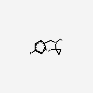 CC(=O)N(Cc1ccc(F)cc1)C1(C(F)(F)F)CC1